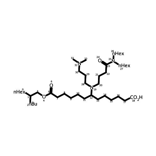 CCCCCCC(CCCC)COC(=O)CCCCCC(CCCCCC(=O)O)N(CCCC(=O)N(CCCCCC)CCCCCC)CCCN(C)C